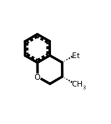 CC[C@H]1c2ccccc2OC[C@H]1C